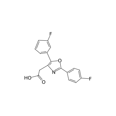 O=C(O)Cc1nc(-c2ccc(F)cc2)oc1-c1cccc(F)c1